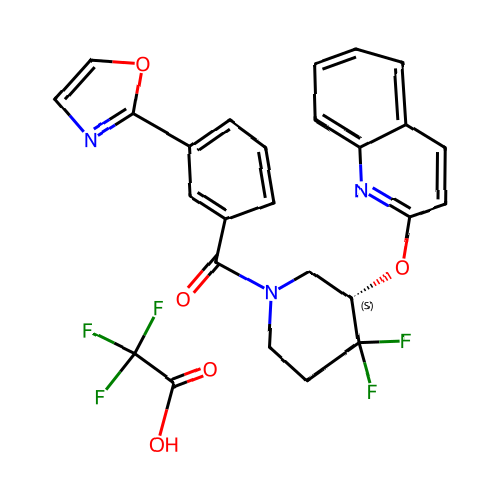 O=C(O)C(F)(F)F.O=C(c1cccc(-c2ncco2)c1)N1CCC(F)(F)[C@@H](Oc2ccc3ccccc3n2)C1